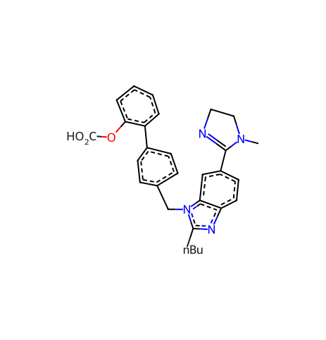 CCCCc1nc2ccc(C3=NCCN3C)cc2n1Cc1ccc(-c2ccccc2OC(=O)O)cc1